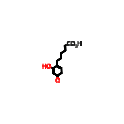 O=C(O)C=CCCCC1=CCC(=O)C=C1O